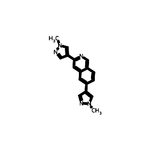 Cn1cc(-c2ccc3cnc(-c4cnn(C)c4)cc3c2)cn1